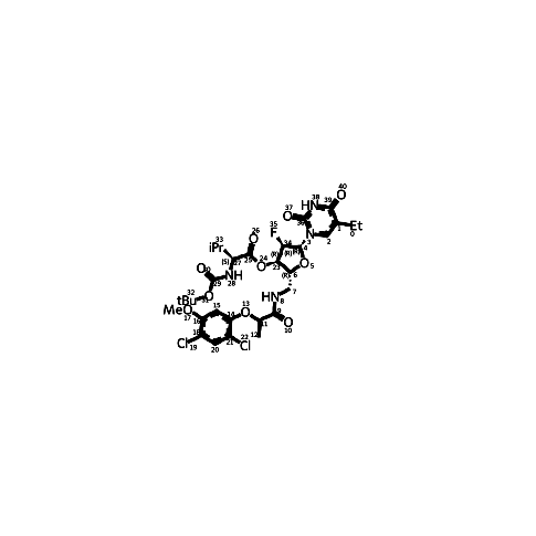 CCc1cn([C@@H]2O[C@H](CNC(=O)C(C)Oc3cc(OC)c(Cl)cc3Cl)[C@@H](OC(=O)[C@@H](NC(=O)OC(C)(C)C)C(C)C)[C@H]2F)c(=O)[nH]c1=O